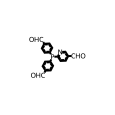 O=Cc1ccc(P(c2ccc(C=O)cc2)c2ccc(C=O)cn2)cc1